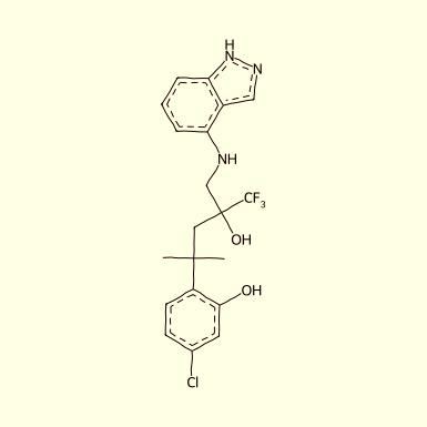 CC(C)(CC(O)(CNc1cccc2[nH]ncc12)C(F)(F)F)c1ccc(Cl)cc1O